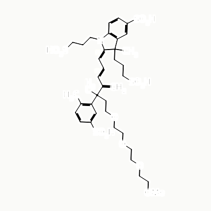 C=C(/C=C/C=C1/N(CCCS(=O)(=O)O)c2ccc(S(=O)(=O)O)cc2C1(C)CCCS(=O)(=O)O)C(C)(CCOCCOCCOCCOC)c1cc(S(=O)(=O)O)ccc1C